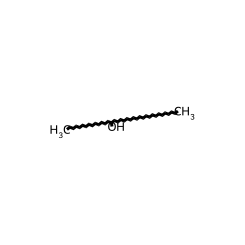 CCCCCCCCCCCCCCCCCCCCCC(O)CCCCCCCCCCCCCC